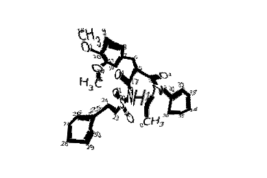 CCN(C(=O)C(Cc1ccc(OC)c(OC)c1)C(=O)NS(=O)(=O)/C=C/c1ccccc1)c1ccccc1